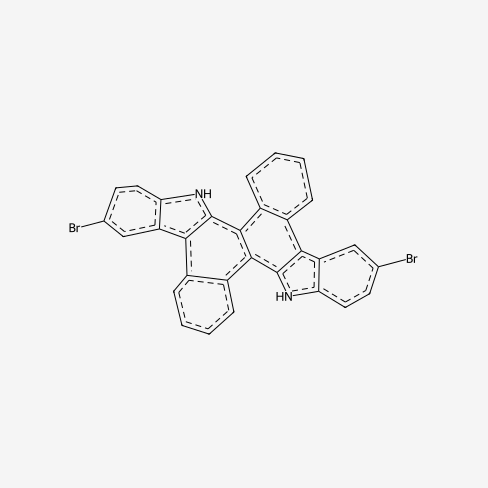 Brc1ccc2[nH]c3c(c2c1)c1ccccc1c1c2[nH]c4ccc(Br)cc4c2c2ccccc2c31